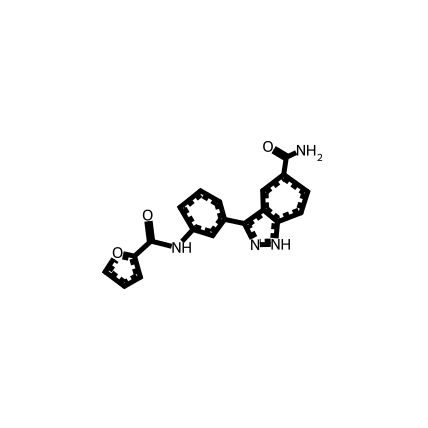 NC(=O)c1ccc2[nH]nc(-c3cccc(NC(=O)c4ccco4)c3)c2c1